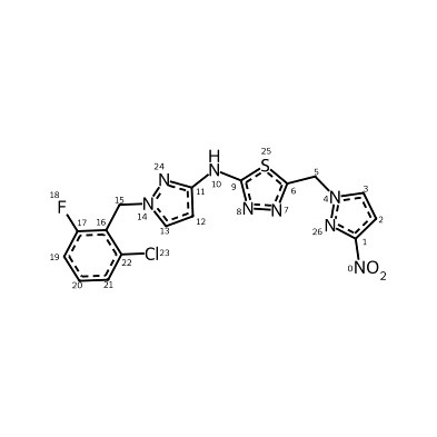 O=[N+]([O-])c1ccn(Cc2nnc(Nc3ccn(Cc4c(F)cccc4Cl)n3)s2)n1